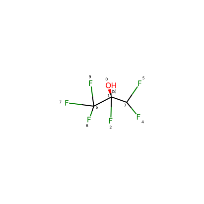 O[C@](F)(C(F)F)C(F)(F)F